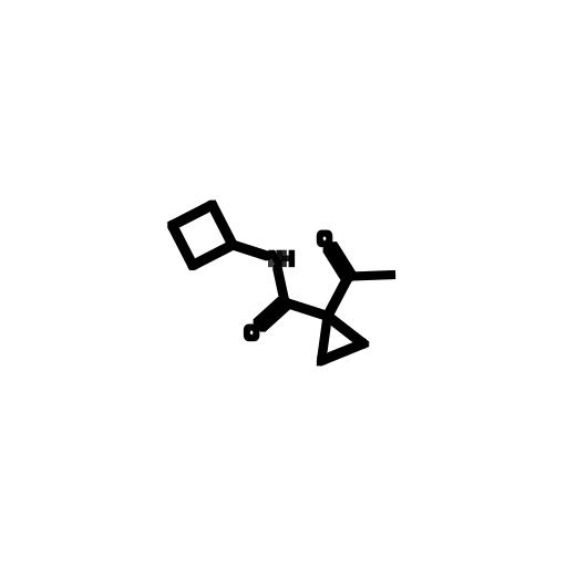 CC(=O)C1(C(=O)NC2CCC2)CC1